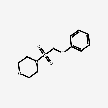 O=S(=O)([CH]Oc1ccccc1)N1CCOCC1